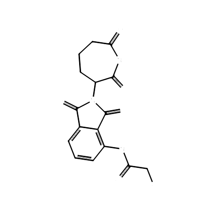 O=C1CCCC(N2C(=O)c3cccc(NC(=O)CCl)c3C2=O)C(=O)N1